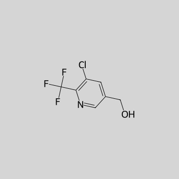 OCc1cnc(C(F)(F)F)c(Cl)c1